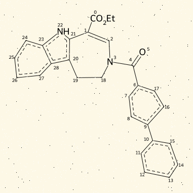 CCOC(=O)C1=CN(C(=O)c2ccc(-c3ccccc3)cc2)CCc2c1[nH]c1ccccc21